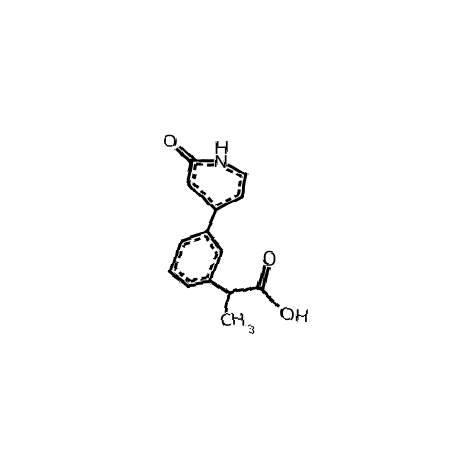 CC(C(=O)O)c1cccc(-c2cc[nH]c(=O)c2)c1